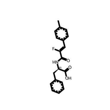 Cc1ccc(C=C(F)C(=O)N[C@H](Cc2ccccc2)C(=O)O)cc1